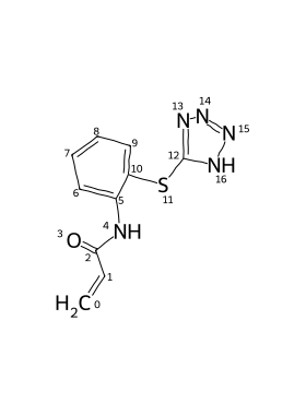 C=CC(=O)Nc1ccccc1Sc1nnn[nH]1